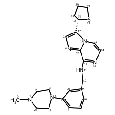 CN1CCN(c2cccc(CNc3nccn4c([C@@H]5CCCS5)cnc34)c2)CC1